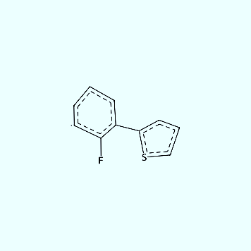 Fc1[c]cccc1-c1cccs1